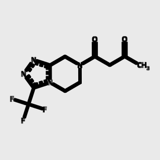 CC(=O)CC(=O)N1CCn2c(nnc2C(F)(F)F)C1